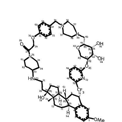 COc1ccc2c(c1)CC[C@@H]1[C@@H]2CC[C@@]2(C)[C@H]1CC[C@@]2(O)CCNC1CCN(C(=O)COc2ccc(CN3CCN(C[C@H]4OC[C@H](Oc5cccc(C(F)(F)F)n5)[C@@H](O)[C@H]4O)CC3)cc2)CC1